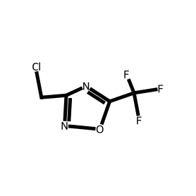 FC(F)(F)c1nc(CCl)no1